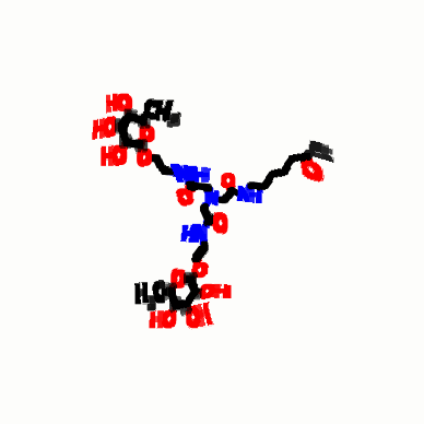 CCC(=O)CCCCCNC(=O)CN(CC(=O)NCCO[C@@H]1O[C@@H](C)[C@@H](O)[C@@H](O)[C@@H]1O)CC(=O)NCCO[C@@H]1O[C@@H](C)[C@@H](O)[C@@H](O)[C@@H]1O